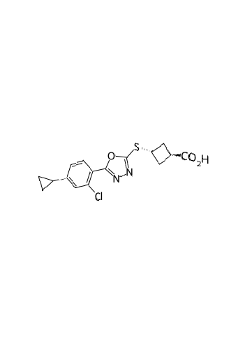 O=C(O)[C@H]1C[C@H](Sc2nnc(-c3ccc(C4CC4)cc3Cl)o2)C1